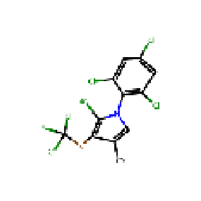 N#Cc1cn(-c2c(Cl)cc(Cl)cc2Cl)c(Br)c1SC(F)(Cl)Cl